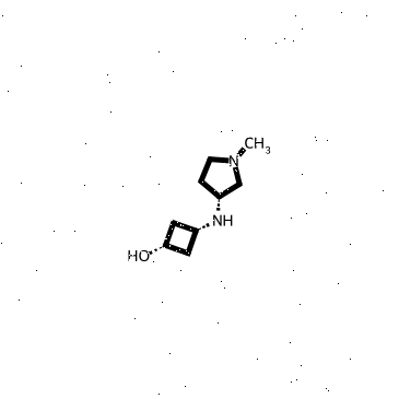 CN1CC[C@@H](N[C@H]2C[C@@H](O)C2)C1